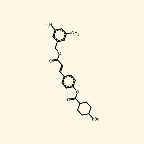 CCCCC1CCC(C(=O)Oc2ccc(/C=C/C(=O)OCc3cc(N)cc(N)c3)cc2)CC1